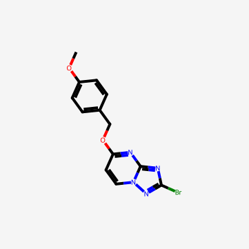 COc1ccc(COc2ccn3nc(Br)nc3n2)cc1